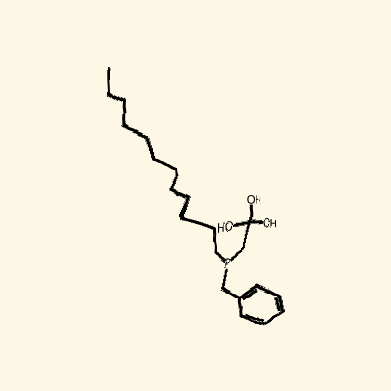 CCCCCCCCCCCCP(Cc1ccccc1)CC(O)(O)O